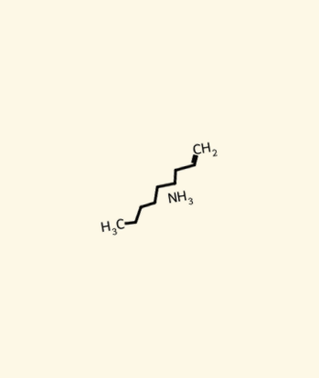 C=CCCCCCCC.N